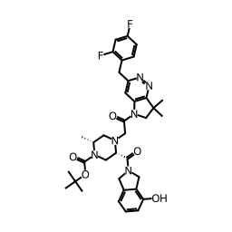 C[C@@H]1CN(CC(=O)N2CC(C)(C)c3nnc(Cc4ccc(F)cc4F)cc32)[C@H](C(=O)N2Cc3cccc(O)c3C2)CN1C(=O)OC(C)(C)C